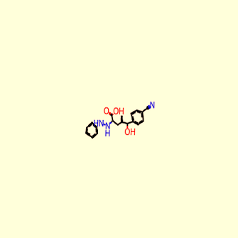 C=C(CC(NNc1ccccc1)C(=O)O)C(O)c1ccc(C#N)cc1